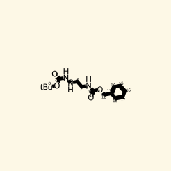 CC(C)(C)OC(=O)NNCCNC(=O)OCc1ccccc1